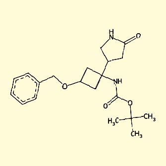 CC(C)(C)OC(=O)NC1(C2CNC(=O)C2)CC(OCc2ccccc2)C1